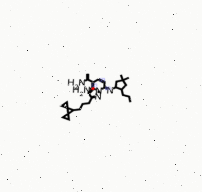 C=C(N)C(/C=C\C(=N/C1CC(C)(C)CC1CCC)n1ccc(CCCC2C3(CC3)C23CC3)n1)=C\N